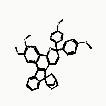 COc1ccc(C2(c3ccc(OC)cc3)C=Cc3c4c(c5cc(SC)c(SC)cc5c3O2)-c2ccccc2C42CC3CCC2C3)cc1